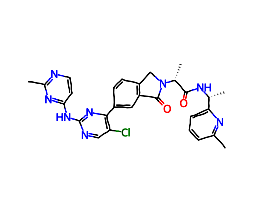 Cc1cccc([C@@H](C)NC(=O)[C@@H](C)N2Cc3ccc(-c4nc(Nc5ccnc(C)n5)ncc4Cl)cc3C2=O)n1